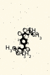 C=C(CN(C)C)C(=O)c1ccc(C(=O)C(=C)CN(C)C)cc1